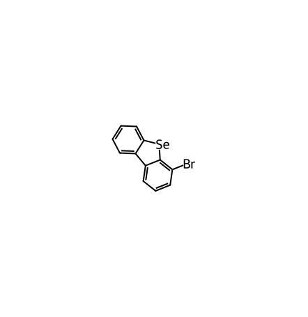 Brc1cccc2c1[se]c1ccccc12